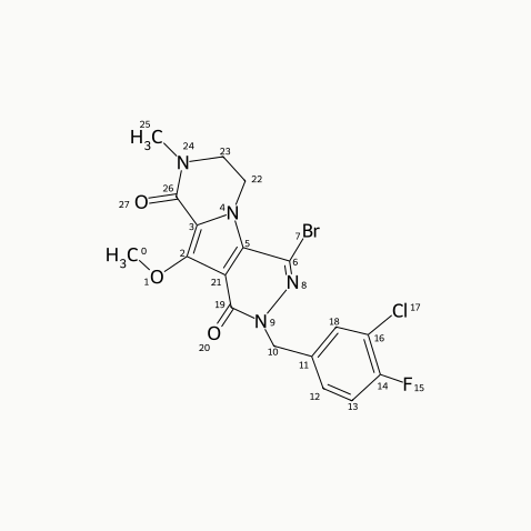 COc1c2n(c3c(Br)nn(Cc4ccc(F)c(Cl)c4)c(=O)c13)CCN(C)C2=O